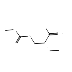 CC[C@H](CNC(=O)OC)C(=O)O